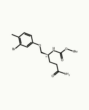 Cc1ccc(OC[C@H](CCC(N)=O)NC(=O)OC(C)(C)C)cc1Br